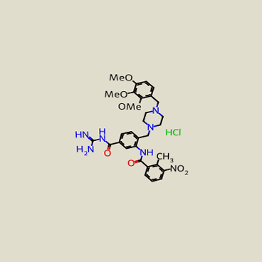 COc1ccc(CN2CCN(Cc3ccc(C(=O)NC(=N)N)cc3NC(=O)c3cccc([N+](=O)[O-])c3C)CC2)c(OC)c1OC.Cl